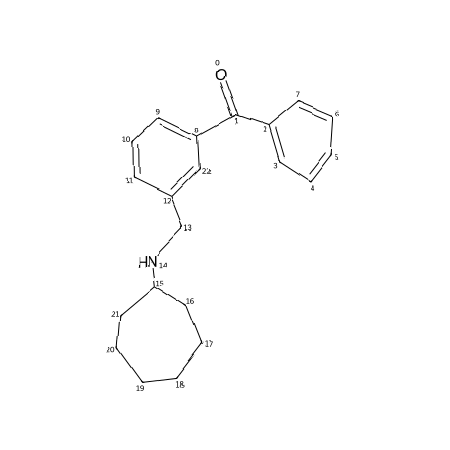 O=C(c1ccccc1)c1cccc(CNC2CCCCCC2)c1